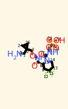 NCC1(CONC(=O)[C@@H]2CC(F)(F)CCN2C(=O)NOS(=O)(=O)O)CC1